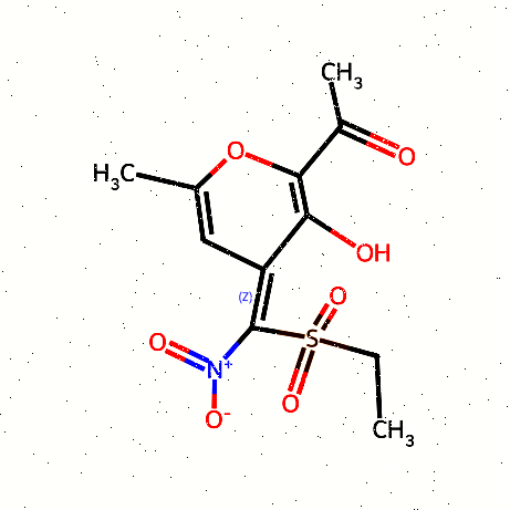 CCS(=O)(=O)/C(=C1/C=C(C)OC(C(C)=O)=C1O)[N+](=O)[O-]